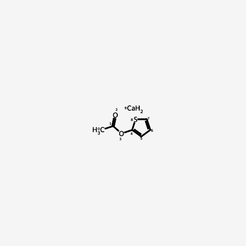 CC(=O)Oc1cccs1.[CaH2]